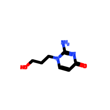 Nc1nc(=O)ccn1CCCO